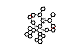 c1ccc(-c2ccc(N3c4cc(-c5cc(-c6cc(-c7ccccc7)cc(-c7ccccc7)c6)nc(-c6cc(-c7ccccc7)cc(-c7ccccc7)c6)n5)cc5c4B(c4cc6c7cccc8cccc(c9cccc(c43)c96)c87)c3cc4c6cccc7cccc(c8cccc(c3N5c3ccc(-c5ccccc5)cc3)c84)c76)cc2)cc1